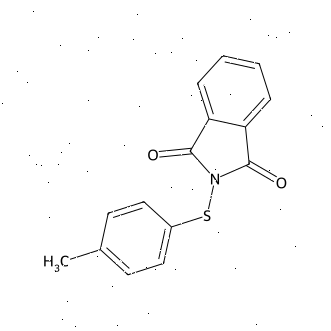 Cc1ccc(SN2C(=O)c3ccccc3C2=O)cc1